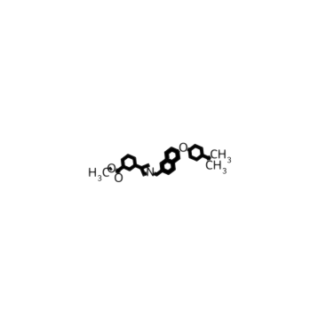 COC(=O)C1CCCC(C2CN(Cc3ccc4cc(OC5CCC(C(C)C)CC5)ccc4c3)C2)C1